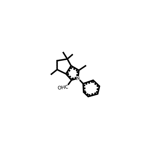 Cc1c2c(c(C=O)n1-c1ccccc1)C(C)CC2(C)C